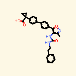 Cc1noc(-c2ccc(-c3ccc(C4(C(=O)O)CC4)cc3)cc2)c1NC(=O)NCCc1ccccc1